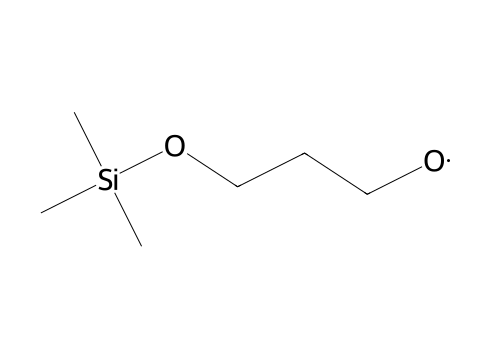 C[Si](C)(C)OCCC[O]